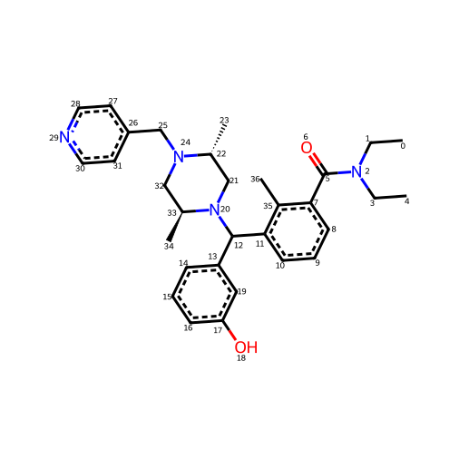 CCN(CC)C(=O)c1cccc(C(c2cccc(O)c2)N2C[C@@H](C)N(Cc3ccncc3)C[C@@H]2C)c1C